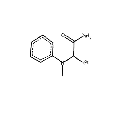 CC(C)C(C(N)=O)N(C)c1ccccc1